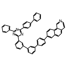 c1ccc(-c2ccc(-c3nc(-c4ccccc4)nc(-c4cccc(-c5cccc(-c6ccc(-c7ccc8c(ccc9ccncc98)c7)cc6)c5)c4)n3)cc2)cc1